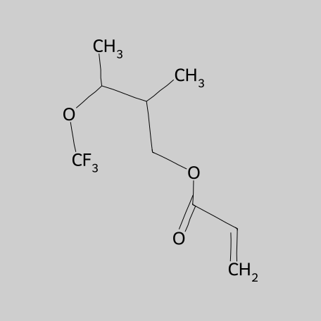 C=CC(=O)OCC(C)C(C)OC(F)(F)F